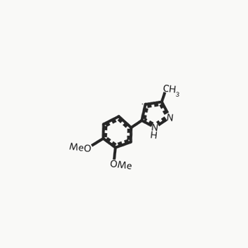 COc1ccc(-c2[c]c(C)n[nH]2)cc1OC